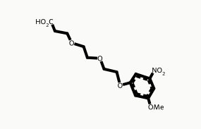 COc1cc(OCCOCCOCCC(=O)O)cc([N+](=O)[O-])c1